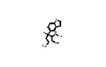 CCCC(F)(c1ccc2occc2c1)C(CO)NC